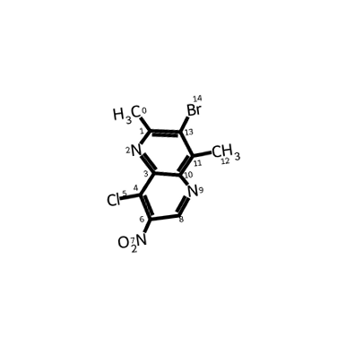 Cc1nc2c(Cl)c([N+](=O)[O-])cnc2c(C)c1Br